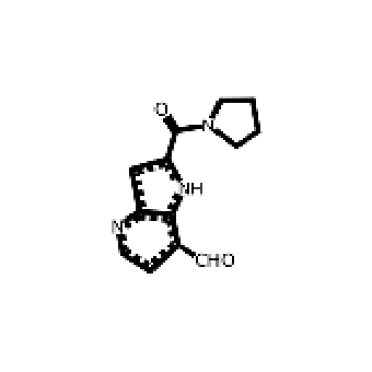 O=Cc1ccnc2cc(C(=O)N3CCCC3)[nH]c12